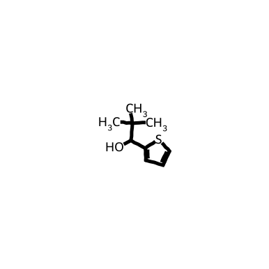 CC(C)(C)C(O)c1cccs1